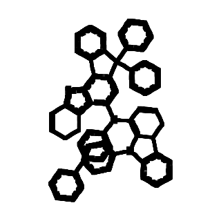 C1=Cc2sc3c4c(cc(N(C5=C6C(CC=C5)c5ccccc5N6c5ccccc5)c5ccc(-c6ccccc6)cc5)c3c2CC1)C(c1ccccc1)(c1ccccc1)c1ccccc1-4